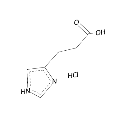 Cl.O=C(O)CCc1c[nH]cn1